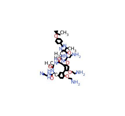 CCC1(Oc2ccc(-c3nc(C)c(C(=O)N[C@@H](CCN)C(=O)N(C)[C@@H]4C(=O)N[C@@H](C)C(=O)N[C@H](C(=O)NCC#N)Cc5ccc(OCCN)c(c5)-c5cc4ccc5OCCN)c(C)n3)cc2)CC1